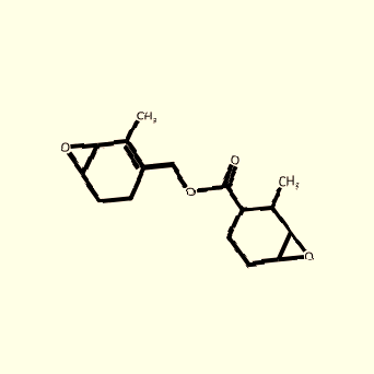 CC1=C(COC(=O)C2CCC3OC3C2C)CCC2OC12